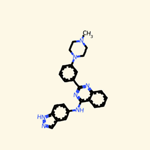 CN1CCN(c2cccc(-c3nc(Nc4ccc5[nH]ncc5c4)c4ccccc4n3)c2)CC1